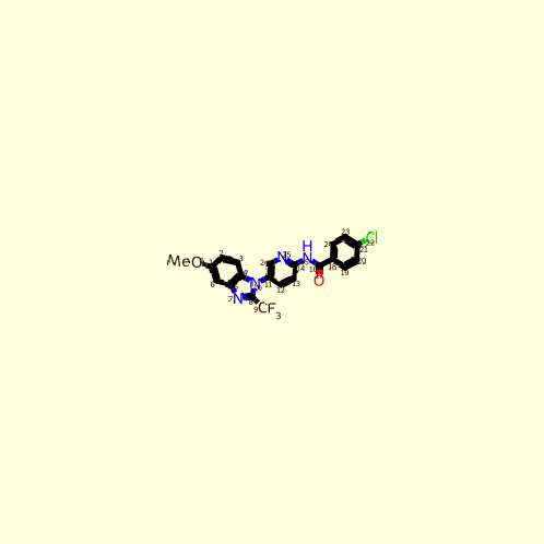 COc1ccc2c(c1)nc(C(F)(F)F)n2-c1ccc(NC(=O)c2ccc(Cl)cc2)nc1